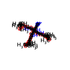 CC(=O)OCC1OC(OCCOCCOCCNC(=O)CCOCC(COCCC(=O)NCCOCCOCCOC2OC(COC(C)=O)C(C)C(C)C2C)(COCCC(=O)NCCOCCOCCOC2OC(COC(C)=O)C(C)C(C)C2C)NC(=O)CCCCCN=[N+]=[N-])C(C)C(C)C1C